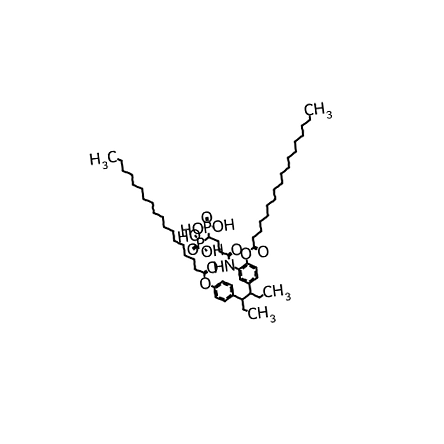 CCCCCCCCCCCCCCCCCC(=O)Oc1ccc(C(CC)C(CC)c2ccc(OC(=O)CCCCCCCCCCCCCCCCC)c(NC(=O)CCC(P(=O)(O)O)P(=O)(O)O)c2)cc1